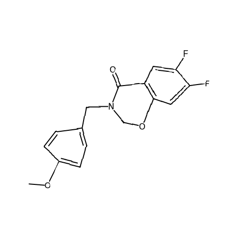 COc1ccc(CN2COc3cc(F)c(F)cc3C2=O)cc1